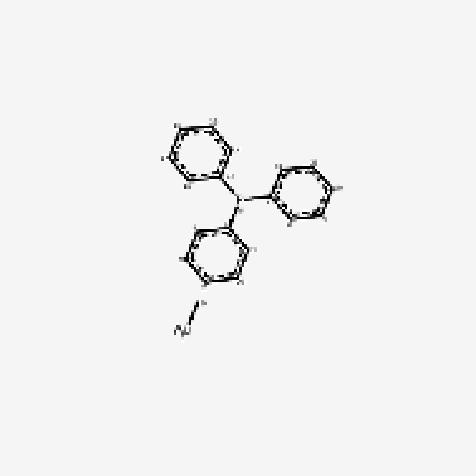 [CH3][Au].c1ccc(P(c2ccccc2)c2ccccc2)cc1